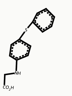 O=C(O)CNc1ccc(Sc2ccccc2)cc1